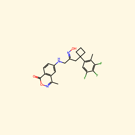 Cc1c(C2(CC(CNc3ccc4c(=O)onc(C)c4c3)=NO)CCC2)cc(F)c(F)c1F